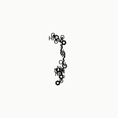 Nc1ncnc2c1c(-c1ccc(Oc3ccccc3)cc1)nn2C1CCCN(C(=O)/C=C/CN2CCN(CCSc3cccc4c3CN(C3CCC(=O)NC3=O)C4=O)CC2)C1